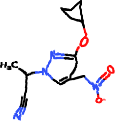 CC(C#N)n1cc([N+](=O)[O-])c(OC2CC2)n1